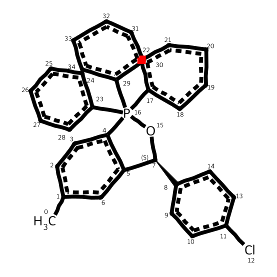 Cc1ccc2c(c1)[C@H](c1ccc(Cl)cc1)OP2(c1ccccc1)(c1ccccc1)c1ccccc1